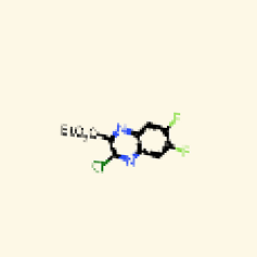 CCOC(=O)c1nc2cc(F)c(F)cc2nc1Cl